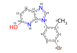 Cc1cc(Br)ccc1-n1cnc2ccc(O)nc21